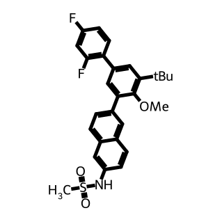 COc1c(-c2ccc3cc(NS(C)(=O)=O)ccc3c2)cc(-c2ccc(F)cc2F)cc1C(C)(C)C